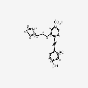 O=C(O)c1ccc(C#Cc2ccc(O)cc2Cl)c(CCCn2cnnn2)c1